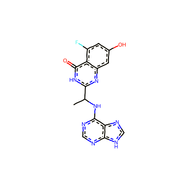 CC(Nc1ncnc2[nH]cnc12)c1nc2cc(O)cc(F)c2c(=O)[nH]1